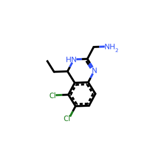 CCC1NC(CN)=Nc2ccc(Cl)c(Cl)c21